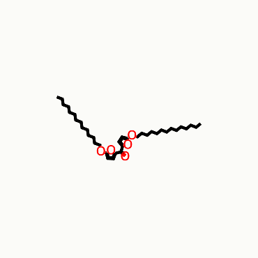 CCCCCCCCCCCCCCOc1ccc(C(=O)c2ccc(OCCCCCCCCCCCCCC)o2)o1